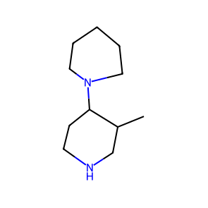 CC1CNCCC1N1CCCCC1